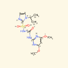 COc1cc(OC)nc(NC(=O)NS(=O)(=O)c2nccn2C(C)C)n1